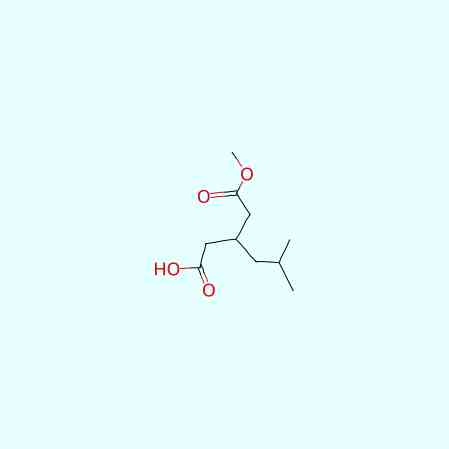 COC(=O)CC(CC(=O)O)CC(C)C